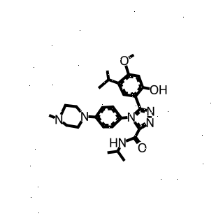 COc1cc(O)c(-c2nnc(C(=O)NC(C)C)n2-c2ccc(N3CCN(C)CC3)cc2)cc1C(C)C